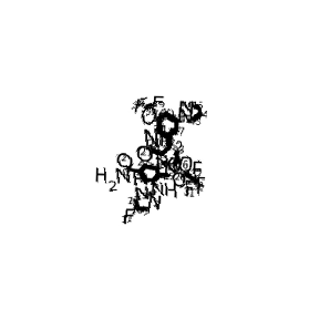 NC(=O)c1cc(NC2=NCC(F)CN2)c2cnn(C(C(N)=O)[C@@H](CC(=O)OC(=O)C(F)(F)F)c3cc(OC(F)F)cc(-n4cccn4)c3)c2c1